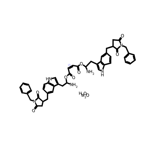 NC(Cc1c[nH]c2ccc(CC3CC(=O)N(Cc4ccccc4)C3=O)cc12)OC(=O)/C=C\C(=O)OC(N)Cc1c[nH]c2ccc(CC3CC(=O)N(Cc4ccccc4)C3=O)cc12.O.O